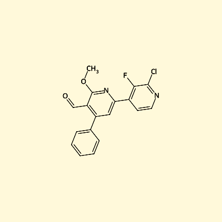 COc1nc(-c2ccnc(Cl)c2F)cc(-c2ccccc2)c1C=O